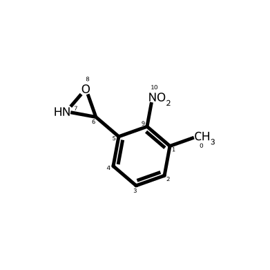 Cc1cccc(C2NO2)c1[N+](=O)[O-]